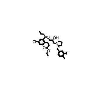 CCC[C@@H](OC[C@H](O)CN1CCC[C@H]1Cc1ccc(C)c(F)c1)c1cc(Cl)ccc1CCC(=O)OCC